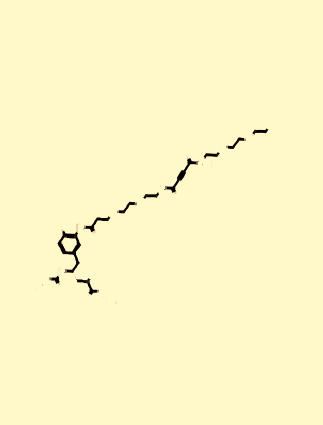 CC(C[C@H](Cc1ccc(O)c(NC(=O)CCOCCOCCNC(=O)C#CC(=O)NCCOCCOCCC(=O)O)c1)NC(=O)OC(C)(C)C)C(=O)OC(C)(C)C